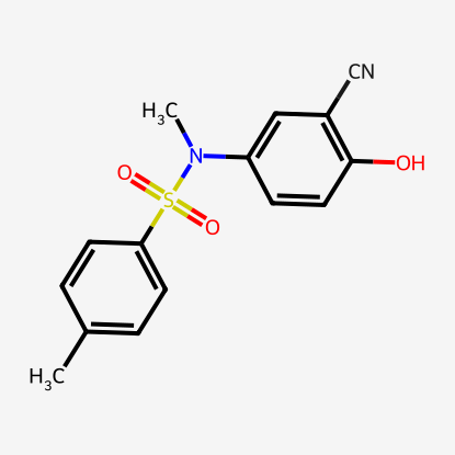 Cc1ccc(S(=O)(=O)N(C)c2ccc(O)c(C#N)c2)cc1